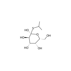 CC(C)S[C@@]1(O)O[C@H](CO)[C@H](O)[C@H](O)[C@H]1O